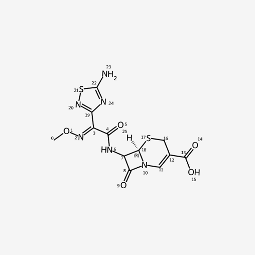 CON=C(C(=O)NC1C(=O)N2C=C(C(=O)O)CS[C@H]12)c1nsc(N)n1